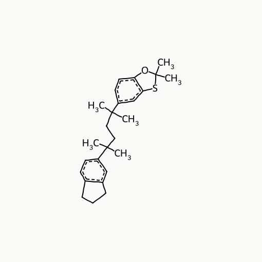 CC1(C)Oc2ccc(C(C)(C)CCC(C)(C)c3ccc4c(c3)CCC4)cc2S1